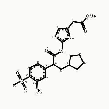 COC(=O)Cc1csc(NC(=O)C(CC2CCCC2)c2ccc(S(C)(=O)=O)c(C(F)(F)F)c2)n1